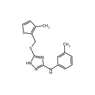 Cc1cccc(Nc2n[nH]c(SCc3sccc3C)n2)c1